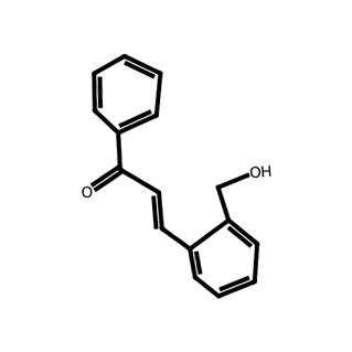 O=C(C=Cc1ccccc1CO)c1ccccc1